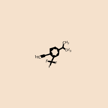 C#Cc1ccc(C(C)C)cc1C(F)(F)F